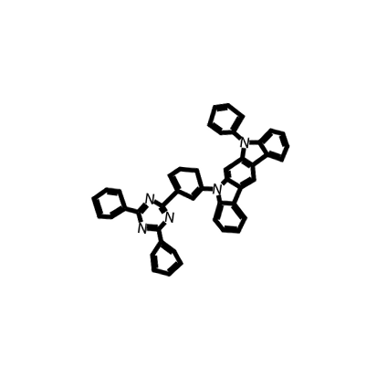 C1=C(c2nc(-c3ccccc3)nc(-c3ccccc3)n2)C=C(n2c3ccccc3c3cc4c5ccccc5n(-c5ccccc5)c4cc32)CC1